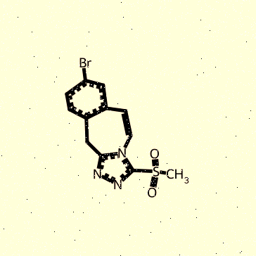 CS(=O)(=O)c1nnc2n1C=Cc1cc(Br)ccc1C2